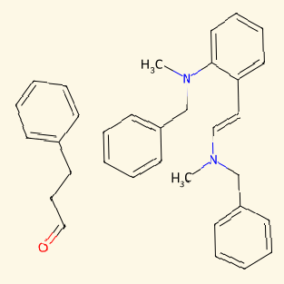 CN(C=Cc1ccccc1N(C)Cc1ccccc1)Cc1ccccc1.O=CCCc1ccccc1